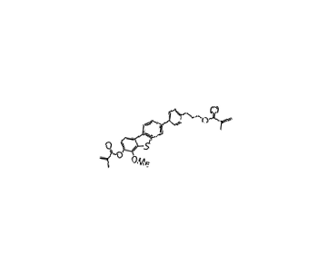 C=C(C)C(=O)OCCCc1ccc(-c2ccc3c(c2)sc2c(OC)c(OC(=O)C(=C)C)ccc23)cc1